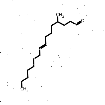 CCCCCCCC=CCCCC(C)CCC=O